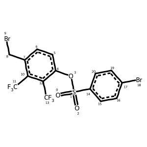 O=S(=O)(Oc1ccc(CBr)c(C(F)(F)F)c1C(F)(F)F)c1ccc(Br)cc1